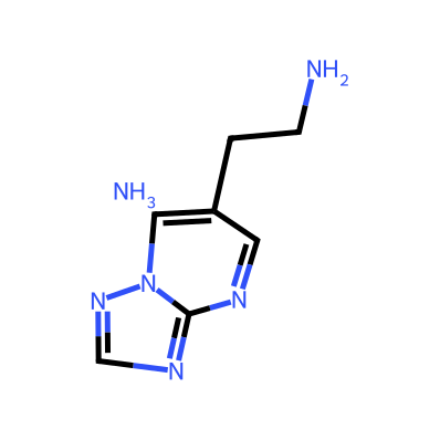 N.NCCc1cnc2ncnn2c1